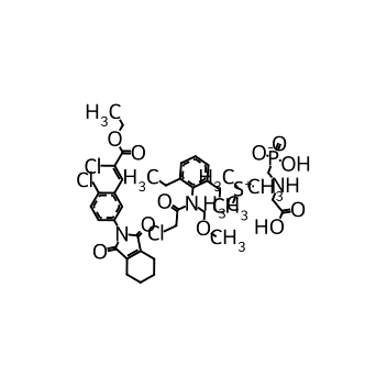 CCOC(=O)/C(Cl)=C/c1cc(N2C(=O)C3=C(CCCC3)C2=O)ccc1Cl.CCc1cccc(CC)c1N(COC)C(=O)CCl.C[S+](C)C.O=C(O)CNCP(=O)([O-])O